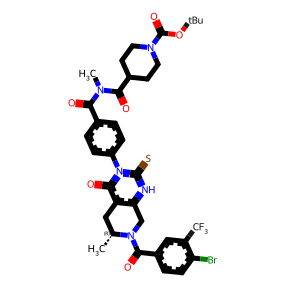 C[C@@H]1Cc2c([nH]c(=S)n(-c3ccc(C(=O)N(C)C(=O)C4CCN(C(=O)OC(C)(C)C)CC4)cc3)c2=O)CN1C(=O)c1ccc(Br)c(C(F)(F)F)c1